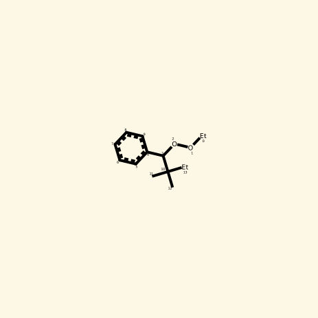 CCOOC(c1ccccc1)C(C)(C)CC